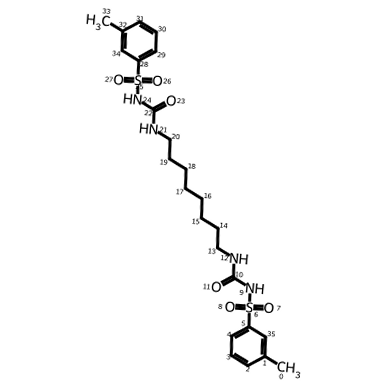 Cc1cccc(S(=O)(=O)NC(=O)NCCCCCCCCNC(=O)NS(=O)(=O)c2cccc(C)c2)c1